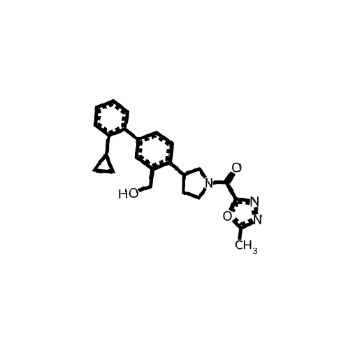 Cc1nnc(C(=O)N2CCC(c3ccc(-c4ccccc4C4CC4)cc3CO)C2)o1